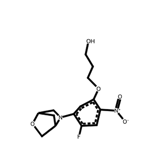 O=[N+]([O-])c1cc(F)c(N2CC3CC2CO3)cc1OCCCO